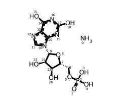 N.O=P(O)(O)OC[C@H]1O[C@@H](n2cnc3c(O)nc(O)nc32)[C@H](O)[C@@H]1O